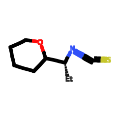 CC[C@@H](N=C=S)C1CCCCO1